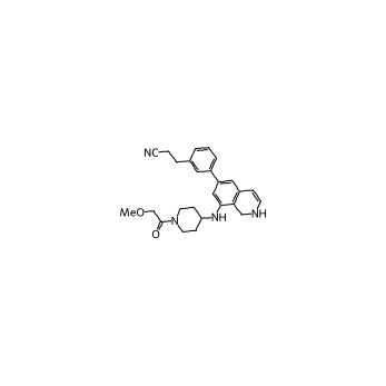 COCC(=O)N1CCC(Nc2cc(-c3cccc(CCC#N)c3)cc3c2CNC=C3)CC1